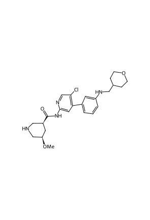 CO[C@H]1CNC[C@@H](C(=O)Nc2cc(-c3cccc(NCC4CCOCC4)c3)c(Cl)cn2)C1